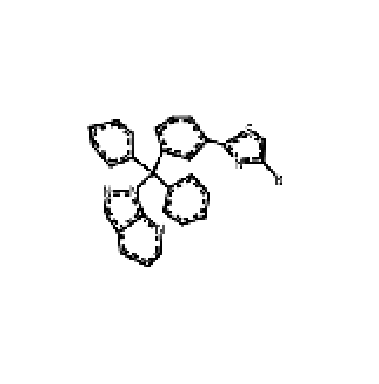 Brc1csc(-c2cccc(C(c3ccccc3)(c3ccccc3)n3ncc4cccnc43)c2)n1